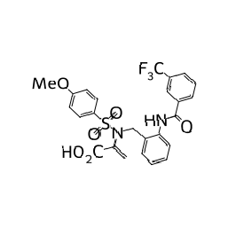 C=C(C(=O)O)N(Cc1ccccc1NC(=O)c1cccc(C(F)(F)F)c1)S(=O)(=O)c1ccc(OC)cc1